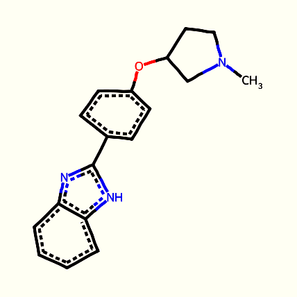 CN1CCC(Oc2ccc(-c3nc4ccccc4[nH]3)cc2)C1